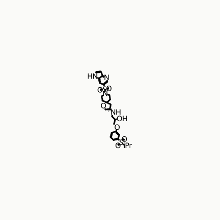 CC(C)S(=O)(=O)c1cccc(OCC(O)CN[C@H]2COC3(CCN(S(=O)(=O)c4cnc5cc[nH]c5c4)CC3)C2)c1